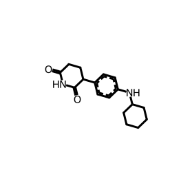 O=C1CCC(c2ccc(NC3CCCCC3)cc2)C(=O)N1